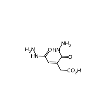 NNC(=O)C=C(CC(=O)O)C(=O)NN